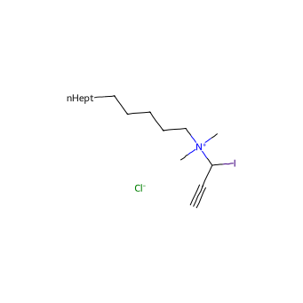 C#CC(I)[N+](C)(C)CCCCCCCCCCCC.[Cl-]